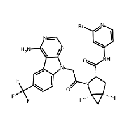 Nc1ncnc2c1c1cc(C(F)(F)F)ccc1n2CC(=O)N1[C@@H]2C[C@@H]2C[C@H]1C(=O)Nc1ccnc(Br)c1